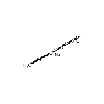 CCCCCCCCCCCCOCCOCCOCCOCCOCC(=O)[O-].[Na+]